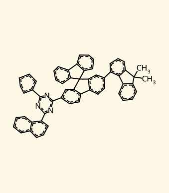 CC1(C)c2ccccc2-c2c(-c3ccc4c(c3)C3(c5ccccc5-c5ccccc53)c3cc(-c5nc(-c6ccccc6)nc(-c6cccc7ccccc67)n5)ccc3-4)cccc21